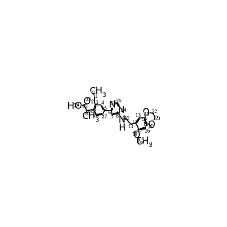 CCCc1cc(-c2cc(NCCc3cc4c(cc3OC)OCCO4)ncn2)ccc1C(C)C(=O)O